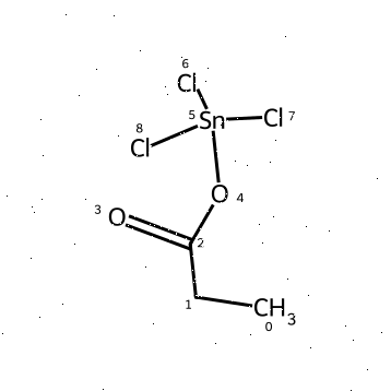 CCC(=O)[O][Sn]([Cl])([Cl])[Cl]